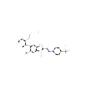 OCCc1ccccc1-c1cc2nc(/C=C/c3ccc(C(F)(F)F)cc3)[nH]c2cc1C(F)(F)F